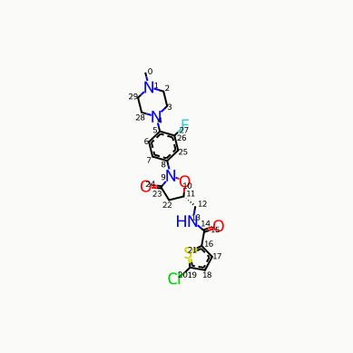 CN1CCN(c2ccc(N3O[C@H](CNC(=O)c4ccc(Cl)s4)CC3=O)cc2F)CC1